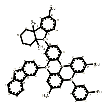 Cc1cc2c3c(c1)N(c1cccc(C(C)(C)C)c1)c1cc(C(C)(C)C)ccc1B3c1ccc(N3c4ccc(C(C)(C)C)cc4C4(C)CCCCC34C)cc1N2c1ccc2sc3ccccc3c2c1